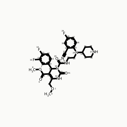 COCC1=C(C(=O)OC)C(c2ccc(F)c(F)c2)N(C(=O)NCCN(c2ccc(F)cc2C#N)C2CCNCC2)C(=O)N1